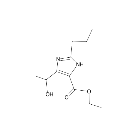 CCCc1nc(C(C)O)c(C(=O)OCC)[nH]1